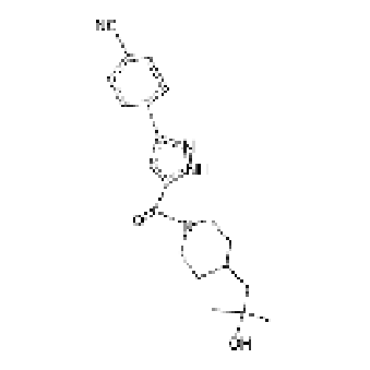 CC(C)(O)CC1CCN(C(=O)c2cc(-c3ccc(C#N)cc3)n[nH]2)CC1